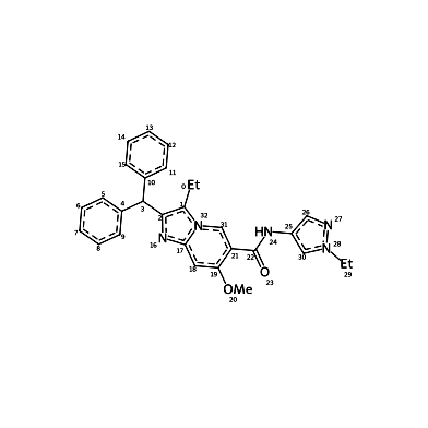 CCc1c(C(c2ccccc2)c2ccccc2)nc2cc(OC)c(C(=O)Nc3cnn(CC)c3)cn12